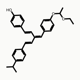 CCOC(C)Oc1ccc(C=C(C=Cc2ccc(O)cc2)C=Cc2ccc(C(C)C)cc2)cc1